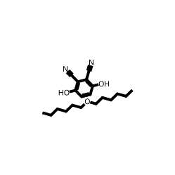 CCCCCCOCCCCCC.N#Cc1c(O)ccc(O)c1C#N